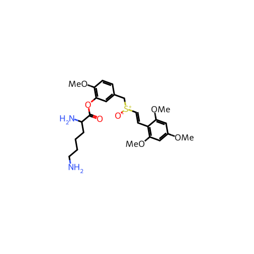 COc1cc(OC)c(C=C[S+]([O-])Cc2ccc(OC)c(OC(=O)C(N)CCCCN)c2)c(OC)c1